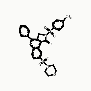 Cc1ccc(S(=O)(=O)N2Cc3c(-c4ccccc4)nc4ccc(S(=O)(=O)N5CCOCC5)cc4c3C2=O)cc1